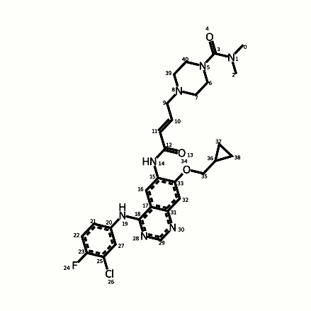 CN(C)C(=O)N1CCN(C/C=C/C(=O)Nc2cc3c(Nc4ccc(F)c(Cl)c4)ncnc3cc2OCC2CC2)CC1